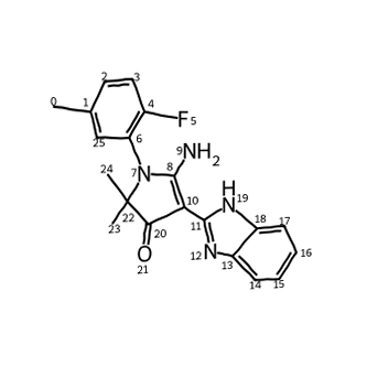 Cc1ccc(F)c(N2C(N)=C(c3nc4ccccc4[nH]3)C(=O)C2(C)C)c1